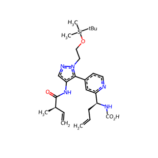 C=CC[C@H](NC(=O)O)c1cc(-c2c(NC(=O)[C@H](C)C=C)cnn2CCO[Si](C)(C)C(C)(C)C)ccn1